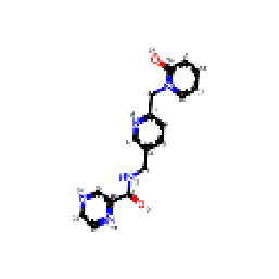 O=C(NCc1ccc(Cn2ccccc2=O)nc1)c1cnccn1